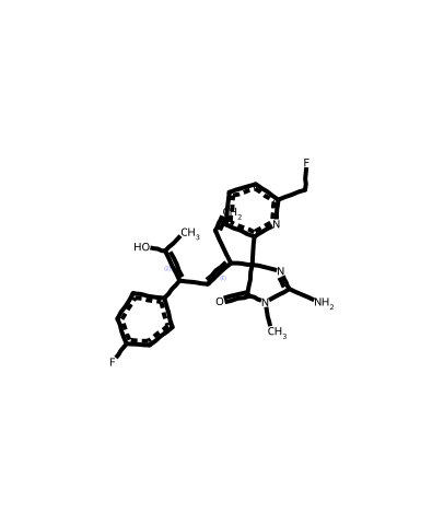 C=C/C(=C\C(=C(/C)O)c1ccc(F)cc1)C1(c2cccc(CF)n2)N=C(N)N(C)C1=O